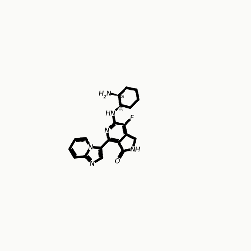 N[C@H]1CCCC[C@H]1Nc1nc(-c2cnc3ccccn23)c2c(c1F)CNC2=O